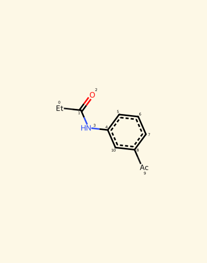 CCC(=O)Nc1cccc(C(C)=O)c1